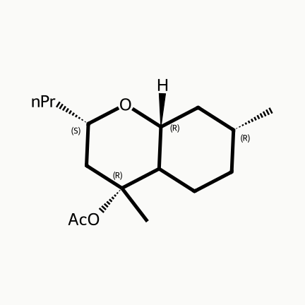 CCC[C@H]1C[C@@](C)(OC(C)=O)C2CC[C@@H](C)C[C@H]2O1